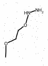 COCCONN